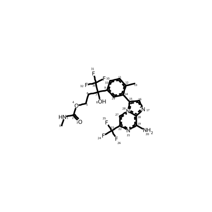 CNC(=O)OCCC(O)(c1ccc(C)c(-c2cnc3c(N)nc(C(F)(F)F)cn23)c1)C(F)(F)F